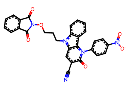 N#Cc1cc2c(c3ccccc3n2CCCON2C(=O)c3ccccc3C2=O)n(-c2ccc([N+](=O)[O-])cc2)c1=O